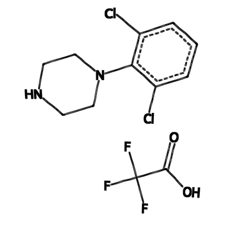 Clc1cccc(Cl)c1N1CCNCC1.O=C(O)C(F)(F)F